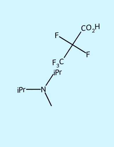 CC(C)N(C)C(C)C.O=C(O)C(F)(F)C(F)(F)F